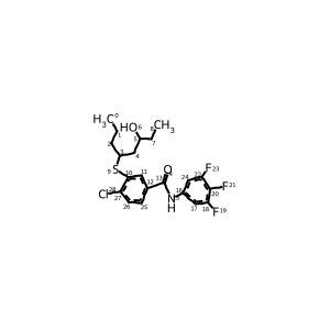 CCCC(CC(O)CC)Sc1cc(C(=O)Nc2cc(F)c(F)c(F)c2)ccc1Cl